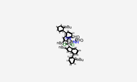 CCCCC1=Cc2c(-c3ccccc3CCCC)cccc2[CH]1[Hf]([Cl])([Cl])([B](NC=O)NC=O)[CH]1C(CCCC)=Cc2c(-c3ccccc3CCCC)cccc21